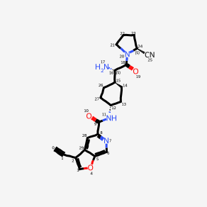 C#Cc1coc2cnc(C(=O)N[C@H]3CC[C@H]([C@H](N)C(=O)N4CCC[C@H]4C#N)CC3)cc12